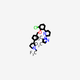 O=C(O)c1cnn(-c2cccc(-c3cccc(Cl)c3OCc3ccc(C4CCCN(CC(F)(F)F)C4)cc3)n2)c1C(F)(F)F